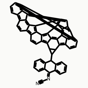 N#CN=C1c2ccccc2C(C2C3c4c5ccc6c7ccc8c9ccc%10c%11ccc%12c(c%13c4c4c5c6c5c7c8c6c9c%10c7c%11c%12c%13c8c4c5c6c78)C32)c2ccccc21